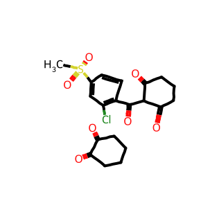 CS(=O)(=O)c1ccc(C(=O)C2C(=O)CCCC2=O)c(Cl)c1.O=C1CCCCC1=O